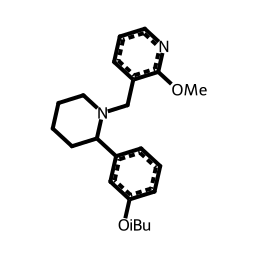 COc1ncccc1CN1CCCCC1c1cccc(OCC(C)C)c1